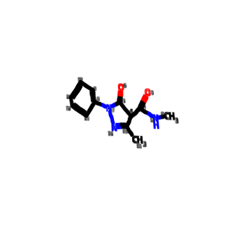 CNC(=O)C1C(=O)N(c2ccccc2)N=C1C